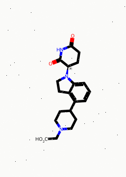 O=C(O)CN1CCC(c2cccc3c2CCN3[C@@H]2CCC(=O)NC2=O)CC1